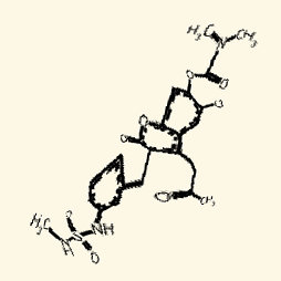 CNS(=O)(=O)Nc1cccc(Cc2c(CC(C)=O)c3cc(Cl)c(OC(=O)N(C)C)cc3oc2=O)c1